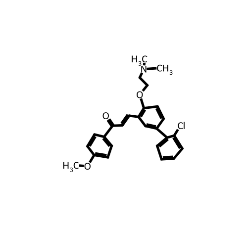 COc1ccc(C(=O)C=Cc2cc(-c3ccccc3Cl)ccc2OCCN(C)C)cc1